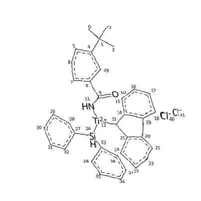 CC(C)(C)c1cccc(C(=O)[NH][Ti+2]([CH]2c3ccccc3-c3ccccc32)[SiH](c2ccccc2)c2ccccc2)c1.[Cl-].[Cl-]